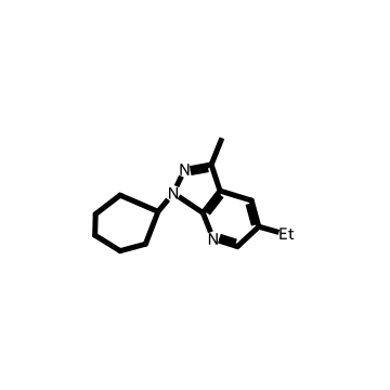 CCc1cnc2c(c1)c(C)nn2C1CCCCC1